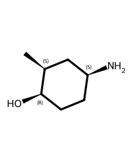 C[C@H]1C[C@@H](N)CC[C@H]1O